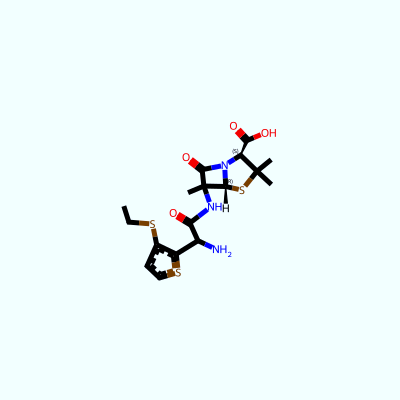 CCSc1ccsc1C(N)C(=O)NC1(C)C(=O)N2[C@@H](C(=O)O)C(C)(C)S[C@@H]21